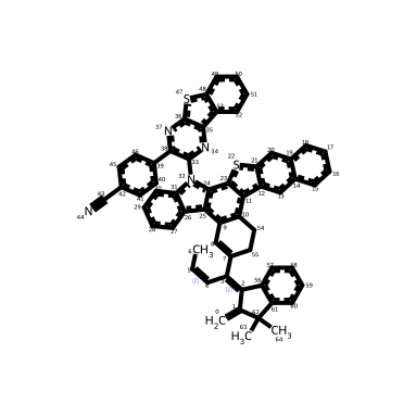 C=C1/C(=C(\C=C/C)C2=Cc3c(c4c5cc6ccccc6cc5sc4c4c3c3ccccc3n4-c3nc4c(nc3-c3ccc(C#N)cc3)sc3ccccc34)CC2)c2ccccc2C1(C)C